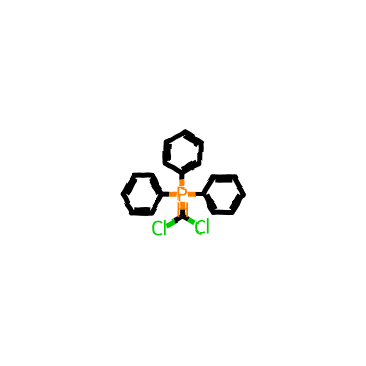 ClC(Cl)[PH](c1ccccc1)(c1ccccc1)c1ccccc1